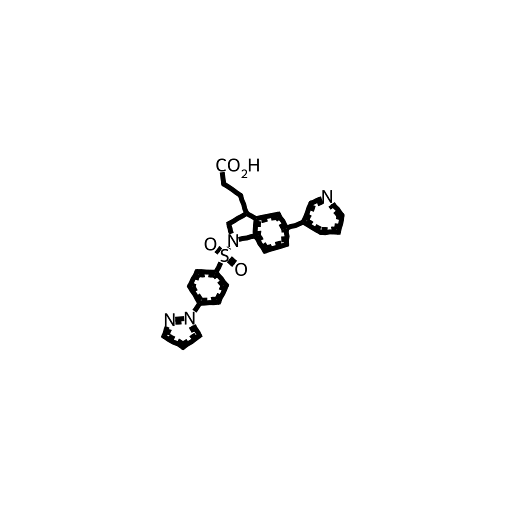 O=C(O)CCC1CN(S(=O)(=O)c2ccc(-n3cccn3)cc2)c2ccc(-c3cccnc3)cc21